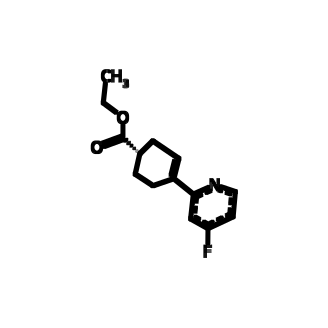 CCOC(=O)[C@@H]1CC=C(c2cc(F)ccn2)CC1